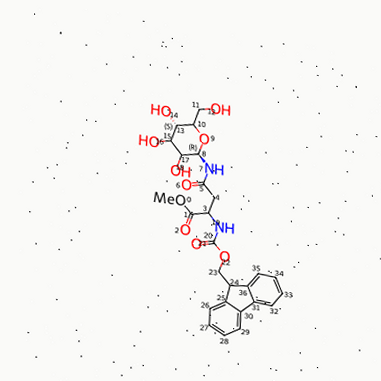 COC(=O)C(CC(=O)N[C@@H]1OC(CO)[C@@H](O)C(O)C1O)NC(=O)OCC1c2ccccc2-c2ccccc21